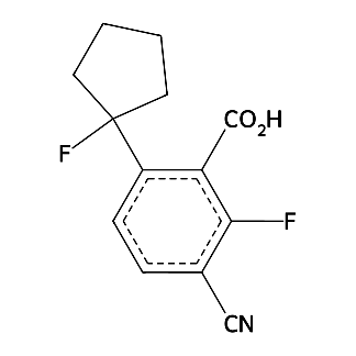 N#Cc1ccc(C2(F)CCCC2)c(C(=O)O)c1F